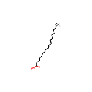 CCCCCCC=CC=CCCCCC=CCC(=O)O